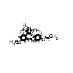 C=CCOc1ccc2c(c1)ncn2-c1c(-c2c(F)cc(OC)cc2F)c(C)nn1C